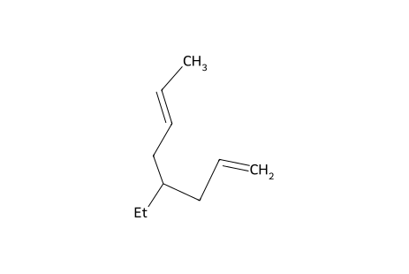 [CH2]CC(CC=C)CC=CC